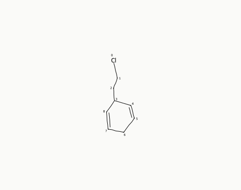 ClCCC1C=CCC=C1